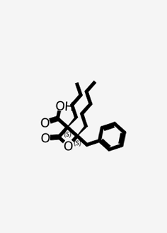 CCCCC[C@@]1(Cc2ccccc2)OC(=O)[C@]1(CCCC)C(=O)O